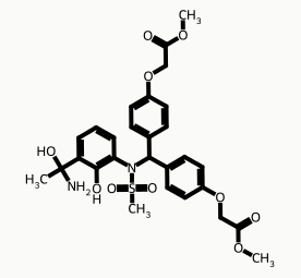 COC(=O)COc1ccc(C(c2ccc(OCC(=O)OC)cc2)N(c2cccc(C(C)(N)O)c2O)S(C)(=O)=O)cc1